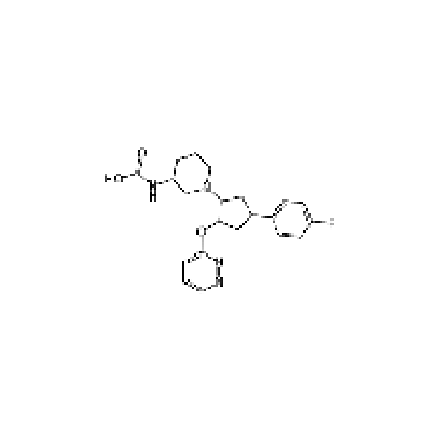 O=C(O)NC1CCCN(C2CC(c3ccc(F)cc3)CC2Oc2cccnn2)C1